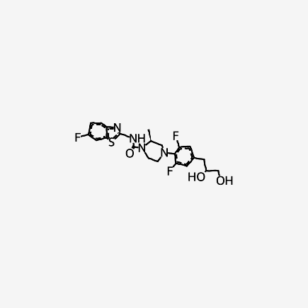 C[C@H]1CN(c2c(F)cc(C[C@@H](O)CO)cc2F)CCN1C(=O)Nc1nc2ccc(F)cc2s1